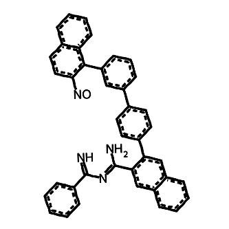 N=C(/N=C(\N)c1cc2ccccc2cc1-c1ccc(-c2cccc(-c3c(N=O)ccc4ccccc34)c2)cc1)c1ccccc1